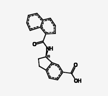 O=C(O)c1ccc2c(c1)[C@H](NC(=O)c1cccc3ccccc13)CC2